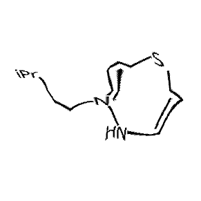 CC(C)C[N+]1=CSC=CN1